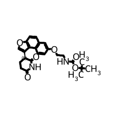 CC(C)(C)OC(=O)NCCOc1ccc2c(ccc3occ([C@@H]4CCC(=O)NC4=O)c32)c1